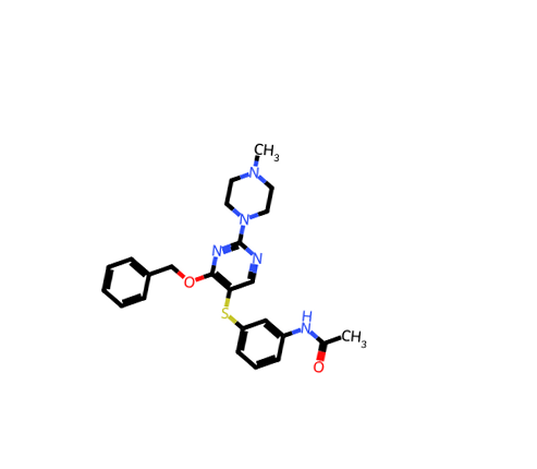 CC(=O)Nc1cccc(Sc2cnc(N3CCN(C)CC3)nc2OCc2ccccc2)c1